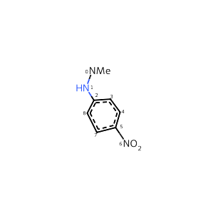 CNNc1ccc([N+](=O)[O-])cc1